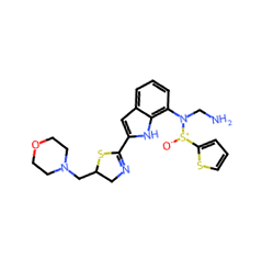 NCN(c1cccc2cc(C3=NCC(CN4CCOCC4)S3)[nH]c12)[S+]([O-])c1cccs1